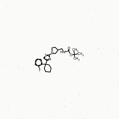 CC(C)(C)OC(=O)NCC1CCN(c2nc(C3(c4ccccc4F)CCCCC3)cs2)C1